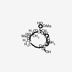 CO[C@@H]1C[C@H](CC(C)[C@@H]2CC(=O)[C@H](C)/C=C(\C)[C@@H](O)[C@@H](OC)C(=O)[C@H](C)C[C@H](C)/C=C/C=C/C=C(\C)C(OCCO)C[C@@H]3CC[C@@H](C)[C@@](O)(O3)C(=O)C(=O)N3CCCC[C@H]3C(=O)O2)CC[C@H]1O